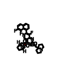 CC(C)(C)OC(=O)N1[C@@H]2CC[C@H]1CN(c1nc(OCC34CCCN3CCC4)nc3c(F)c(-c4cccc5ccc(F)c(F)c45)ncc13)C2